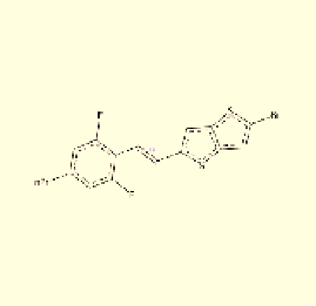 CCCc1cc(F)c(/C=C/c2cc3sc(Br)cc3s2)c(F)c1